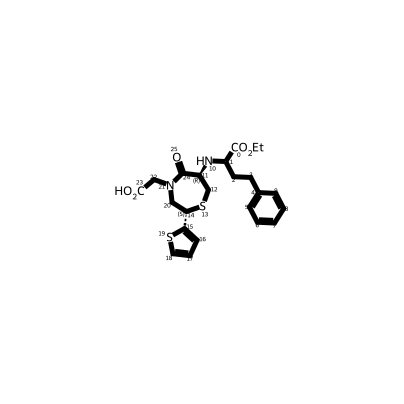 CCOC(=O)C(CCc1ccccc1)N[C@H]1CS[C@H](c2cccs2)CN(CC(=O)O)C1=O